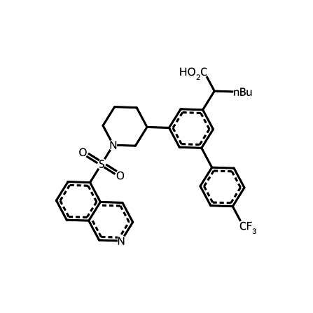 CCCCC(C(=O)O)c1cc(-c2ccc(C(F)(F)F)cc2)cc(C2CCCN(S(=O)(=O)c3cccc4cnccc34)C2)c1